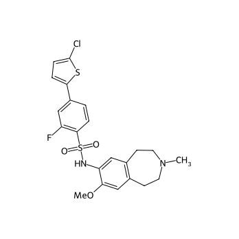 COc1cc2c(cc1NS(=O)(=O)c1ccc(-c3ccc(Cl)s3)cc1F)CCN(C)CC2